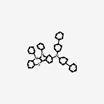 c1ccc(-c2ccc(N(c3ccc(-c4ccccc4)cc3)c3ccc4c5c(n(-c6ccccc6)c4c3)N(c3ccccc3)c3ccccc3S5)cc2)cc1